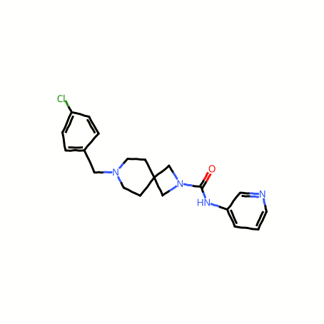 O=C(Nc1cccnc1)N1CC2(CCN(Cc3ccc(Cl)cc3)CC2)C1